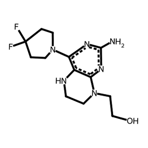 Nc1nc2c(c(N3CCC(F)(F)CC3)n1)NCCN2CCO